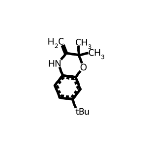 C=C1Nc2ccc(C(C)(C)C)cc2OC1(C)C